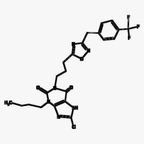 CCCCn1c(=O)n(CCCc2nc(Cc3ccc(C(F)(F)F)cc3)no2)c(=O)c2[nH]c(Cl)nc21